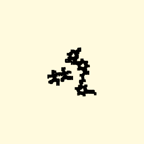 O=C(O)C(F)(F)F.O=C(O)C(F)(F)F.O=[N+]([O-])c1cccc(OCCNc2cccc(Nc3nc(Cl)ncc3Cl)c2)c1